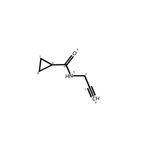 C#CCNC(=O)[C]1CC1